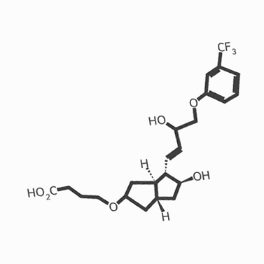 O=C(O)CCCOC1C[C@H]2C[C@H](O)[C@@H](C=CC(O)COc3cccc(C(F)(F)F)c3)[C@@H]2C1